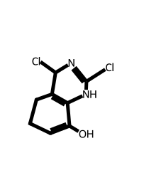 OC1=CCCC2=C1NC(Cl)=NC2Cl